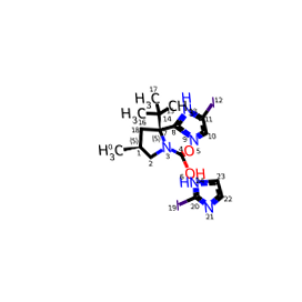 C[C@@H]1CN(C(=O)O)[C@](c2ncc(I)[nH]2)(C(C)(C)C)C1.Ic1ncc[nH]1